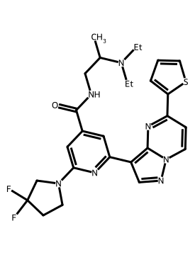 CCN(CC)C(C)CNC(=O)c1cc(-c2cnn3ccc(-c4cccs4)nc23)nc(N2CCC(F)(F)C2)c1